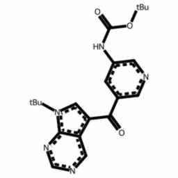 CC(C)(C)OC(=O)Nc1cncc(C(=O)c2cn(C(C)(C)C)c3ncncc23)c1